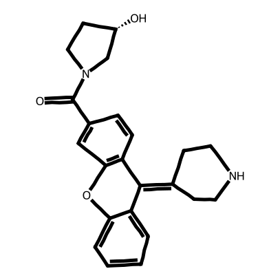 O=C(c1ccc2c(c1)Oc1ccccc1C2=C1CCNCC1)N1CC[C@H](O)C1